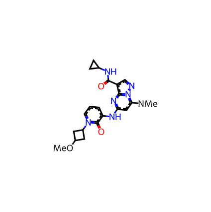 CNc1cc(Nc2cccn(C3CC(OC)C3)c2=O)nc2c(C(=O)NC3CC3)cnn12